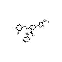 Cn1cc(-c2ccc(OCc3ccc(F)c(F)c3)c(C(=O)Nc3cccnc3)c2)cn1